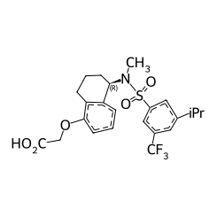 CC(C)c1cc(C(F)(F)F)cc(S(=O)(=O)N(C)[C@@H]2CCCc3c(OCC(=O)O)cccc32)c1